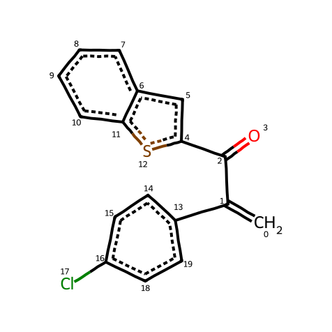 C=C(C(=O)c1cc2ccccc2s1)c1ccc(Cl)cc1